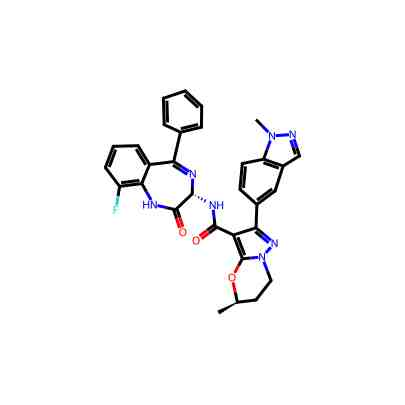 C[C@@H]1CCn2nc(-c3ccc4c(cnn4C)c3)c(C(=O)N[C@H]3N=C(c4ccccc4)c4cccc(F)c4NC3=O)c2O1